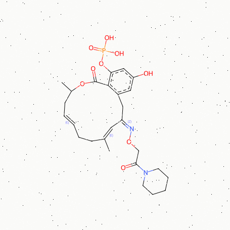 C/C1=C\C(=N/OCC(=O)N2CCCCC2)Cc2cc(O)cc(OP(=O)(O)O)c2C(=O)OC(C)C/C=C/CC1